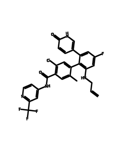 C=CCNc1cc(F)cc(-c2ccc(=O)[nH]c2)c1-c1cc(Cl)c(C(=O)Nc2ccnc(C(F)(F)F)c2)cc1C